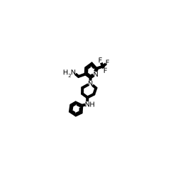 NCc1ccc(C(F)(F)F)nc1N1CCC(Nc2ccccc2)CC1